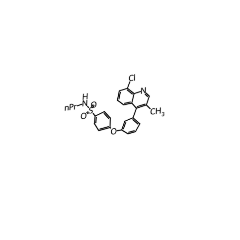 CCCNS(=O)(=O)c1ccc(Oc2cccc(-c3c(C)cnc4c(Cl)cccc34)c2)cc1